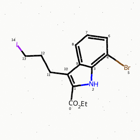 CCOC(=O)c1[nH]c2c(Br)cccc2c1CCCI